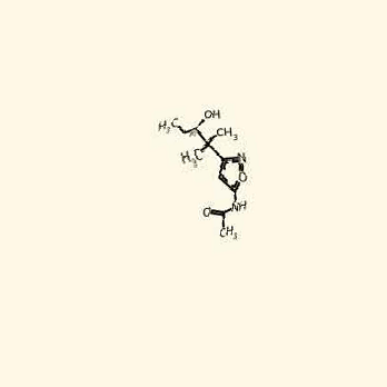 CC[C@@H](O)C(C)(C)c1cc(NC(C)=O)on1